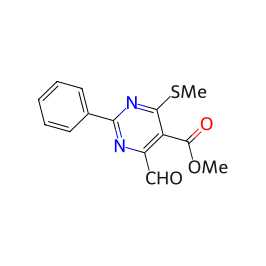 COC(=O)c1c(C=O)nc(-c2ccccc2)nc1SC